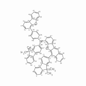 CC1(C)c2ccccc2-c2ccc(-c3c4ccccc4cc4c3oc3c(N(c5ccc(-c6cccc7c6oc6ccccc67)cc5)c5ccc6c(c5)C(C)(C)c5ccccc5-6)cccc34)cc21